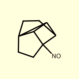 O=NC12CCC34CCC1C3C42